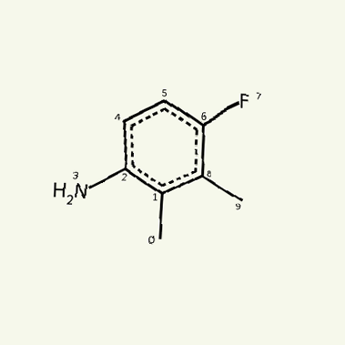 Cc1c(N)ccc(F)c1C